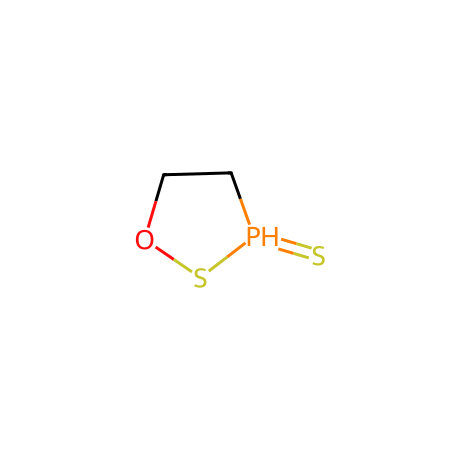 S=[PH]1CCOS1